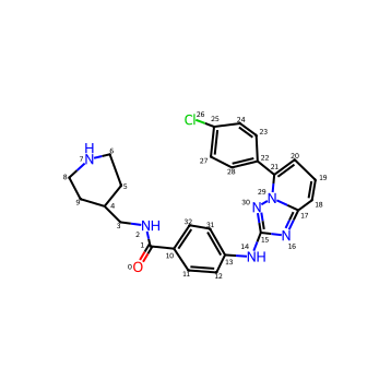 O=C(NCC1CCNCC1)c1ccc(Nc2nc3cccc(-c4ccc(Cl)cc4)n3n2)cc1